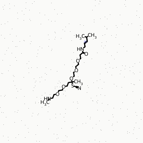 CNCCOCCOCCC(C)(OCCOCCOCCC(=O)NC/C=C/C(C)C)SC#N